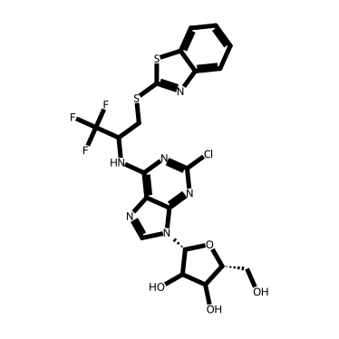 OC[C@H]1O[C@@H](n2cnc3c(NC(CSc4nc5ccccc5s4)C(F)(F)F)nc(Cl)nc32)C(O)C1O